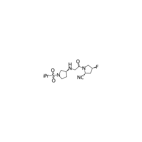 CC(C)S(=O)(=O)N1CC[C@H](NCC(=O)N2C[C@@H](F)C[C@H]2C#N)C1